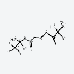 CCC(C)(C)C(=O)OCCC(=O)OC(C)(C)C(F)(F)F